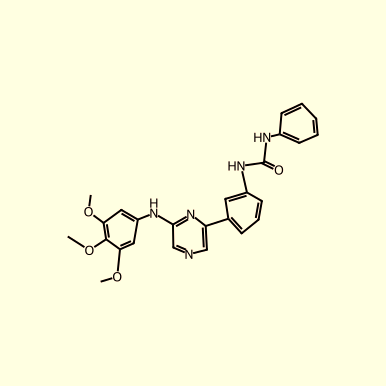 COc1cc(Nc2cncc(-c3cccc(NC(=O)Nc4ccccc4)c3)n2)cc(OC)c1OC